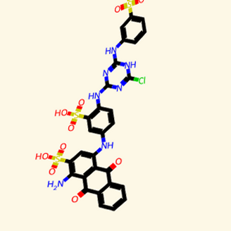 Nc1c(S(=O)(=O)O)cc(Nc2ccc(NC3N=C(Cl)NC(Nc4cccc(S(=O)(=O)O)c4)=N3)c(S(=O)(=O)O)c2)c2c1C(=O)c1ccccc1C2=O